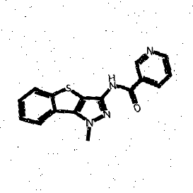 Cn1nc(NC(=O)c2cccnc2)c2sc3ccccc3c21